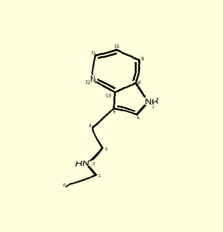 CCNCCc1c[nH]c2cccnc12